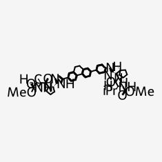 COC(=O)N[C@@H](C)C(=O)N1CCC[C@H]1c1ncc(-c2ccc3c(c2)CCc2cc(-c4ccc5nc([C@@H]6[C@H]7CC[C@H](C7)N6C(=O)[C@@H](NC(=O)OC)C(C)C)[nH]c5c4)ccc2-3)[nH]1